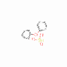 O=[SH](=O)O.c1ccc(Oc2ccccc2)cc1